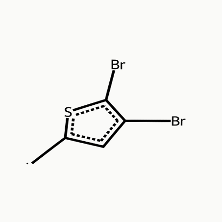 [CH2]c1cc(Br)c(Br)s1